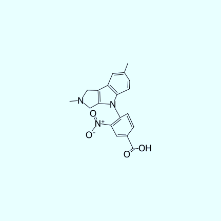 Cc1ccc2c(c1)c1c(n2-c2ccc(C(=O)O)cc2[N+](=O)[O-])CN(C)C1